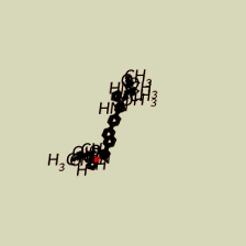 COC(=O)N[C@@H](C(C)C)C(O)N1CCC[C@H]1c1ncc(-c2ccc(-c3ccc4cc(-c5cnc([C@@H]6[C@H]7CC[C@H](C7)N6C(=O)[C@H](C)NC(=O)OC)[nH]5)ccc4c3)cc2)[nH]1